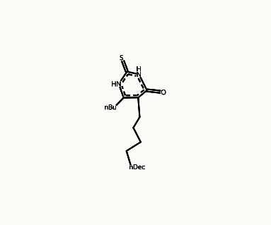 CCCCCCCCCCCCCCc1c(CCCC)[nH]c(=S)[nH]c1=O